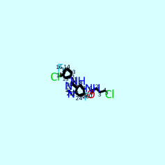 O=C(CCCCl)Nc1cc2c(Nc3ccc(F)c(Cl)c3)ncnc2cc1F